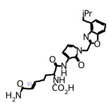 CC(C)Cc1cccc2oc(Cn3cccc(NC(=O)C(CC/C=C/C(N)=O)NC(=O)O)c3=O)nc12